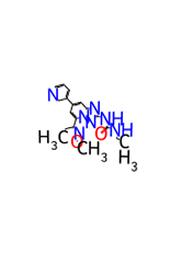 CCNC(=O)Nc1nc2cc(-c3cccnc3)cc(C(CC)=NOC)n2n1